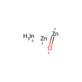 [InH3].[O]=[Zn].[Zn]